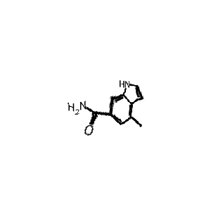 Cc1cc(C(N)=O)cc2[nH]ccc12